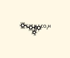 O=C(O)c1ccc2c(c1)nc(-c1ccc(/C=C/c3ccccc3)cc1)n2C1CCCC1